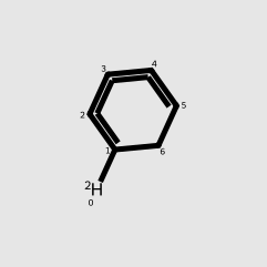 [2H]C1=C=C=C=CC1